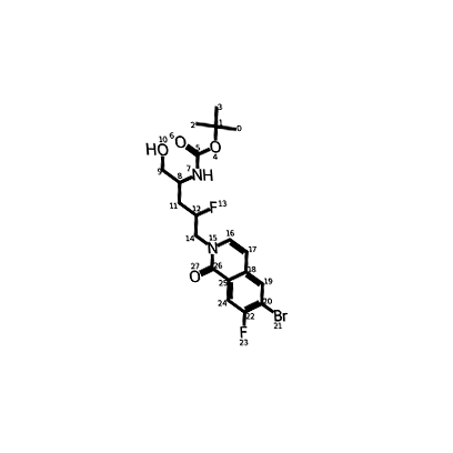 CC(C)(C)OC(=O)NC(CO)CC(F)Cn1ccc2cc(Br)c(F)cc2c1=O